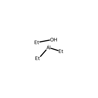 CCO.C[CH2][Al][CH2]C